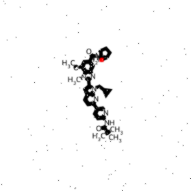 COc1cc(C(=O)N2CC3CCC2[C@@H]3N)cc2nc(-c3cc4ccc(-c5ccc(NC(=O)C(C)(C)C)nc5)nc4n3CC3CC3)n(C)c12